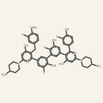 COc1ccc(Cc2c(O)cc(N3CCC(N)CC3)nc2-c2cc(F)c(C#N)c(-c3cc(-c4c(O)cc(N5CCC(N)CC5)nc4-c4ccc(C#N)c(F)c4)cc(O)c3F)c2)cc1F